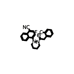 N#Cc1ccc(N2CCCCN2C(=O)Cc2ccccc2C(F)(F)F)c2ccccc12